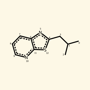 CC(C)Cc1nc2cccnc2s1